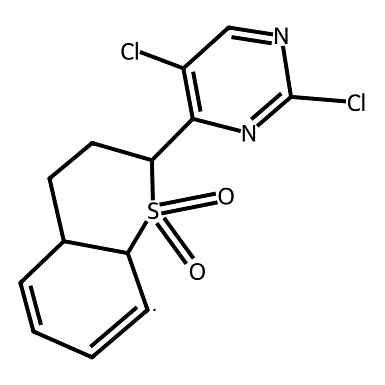 O=S1(=O)C(c2nc(Cl)ncc2Cl)CCC2C=CC=[C]C21